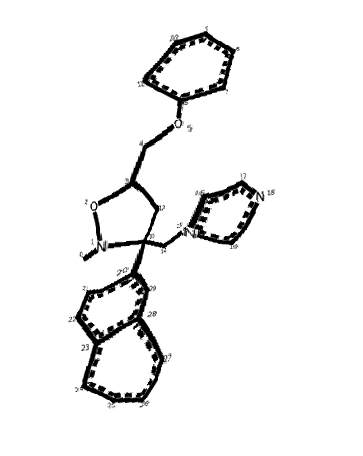 CN1OC(COc2ccccc2)CC1(Cn1ccnc1)c1ccc2ccccc2c1